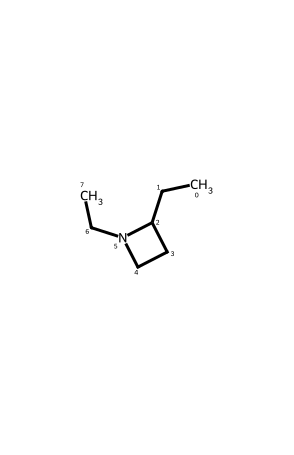 CCC1CCN1CC